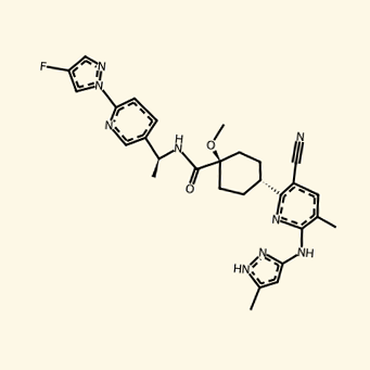 CO[C@]1(C(=O)N[C@@H](C)c2ccc(-n3cc(F)cn3)nc2)CC[C@@H](c2nc(Nc3cc(C)[nH]n3)c(C)cc2C#N)CC1